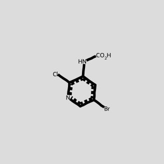 O=C(O)Nc1cc(Br)cnc1Cl